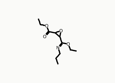 CCCN=C(OCC)C1OC1C(=O)OCC